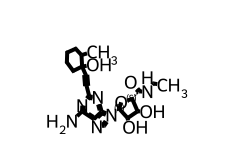 CCNC(=O)[C@H]1O[C@@H](n2cnc3c(N)nc(C#CC4(O)CCCCC4C)nc32)C(O)C1O